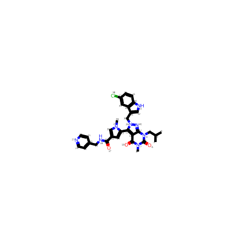 CC(C)Cn1c(=O)n(C)c(=O)c2c(-c3cc(C(=O)NCc4ccncc4)cn3C)n(Cc3c[nH]c4ccc(Cl)cc34)nc21